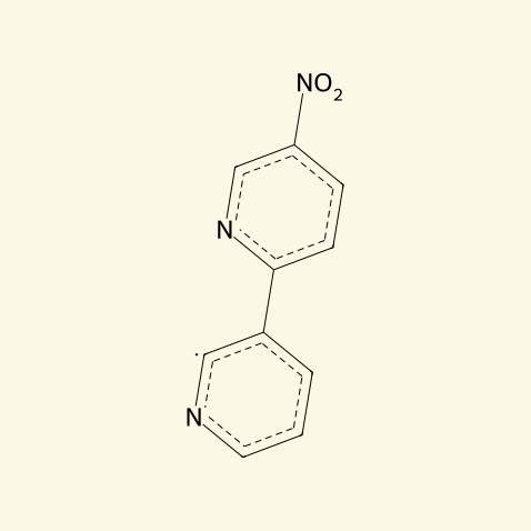 O=[N+]([O-])c1ccc(-c2[c]nccc2)nc1